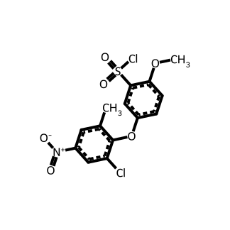 COc1ccc(Oc2c(C)cc([N+](=O)[O-])cc2Cl)cc1S(=O)(=O)Cl